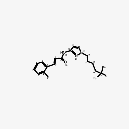 Cc1ccccc1C=CC(=O)Nc1ccn(CCCCC(C)(F)F)n1